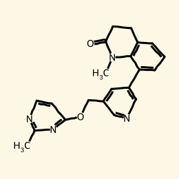 Cc1nccc(OCc2cncc(-c3cccc4c3N(C)C(=O)CC4)c2)n1